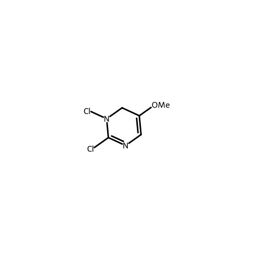 COC1=CN=C(Cl)N(Cl)C1